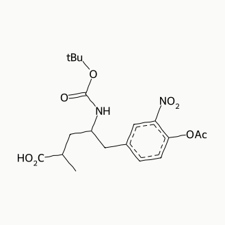 CC(=O)Oc1ccc(CC(CC(C)C(=O)O)NC(=O)OC(C)(C)C)cc1[N+](=O)[O-]